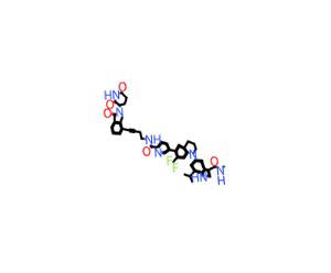 CNC(=O)c1c[nH]c2c(C(C)C)cc(N3CCCc4cc(-c5ccc(C(=O)NCCC#Cc6cccc7c6CN(C6CCC(=O)NC6=O)C7=O)nc5)c(C(F)F)cc43)cc12